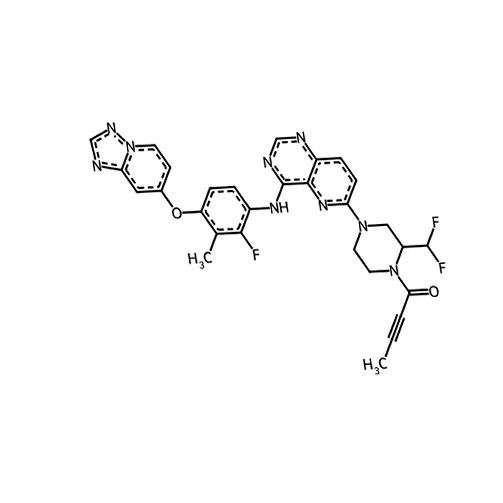 CC#CC(=O)N1CCN(c2ccc3ncnc(Nc4ccc(Oc5ccn6ncnc6c5)c(C)c4F)c3n2)CC1C(F)F